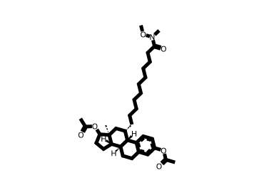 CON(C)C(=O)CCCCCCCCCC[C@H]1C[C@]2(C)C(OC(C)=O)CC[C@H]2[C@@H]2CCc3cc(OC(C)=O)ccc3[C@@H]12